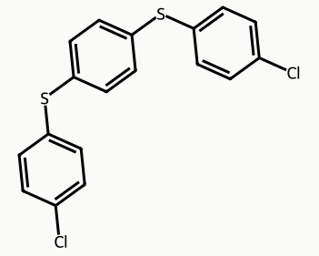 Clc1ccc(Sc2ccc(Sc3ccc(Cl)cc3)cc2)cc1